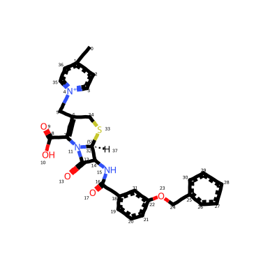 Cc1cc[n+](CC2=C(C(=O)O)N3C(=O)C(NC(=O)c4cccc(OCc5ccccc5)c4)[C@@H]3SC2)cc1